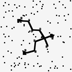 CC(C)C[CH]CC(C)(Br)CCBr